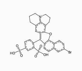 O=S(=O)(O)c1ccc(C2=c3cc4c5c(c3Oc3c2ccc2cc(Br)ccc32)CCC[N+]=5CCC4)c(S(=O)(=O)O)c1